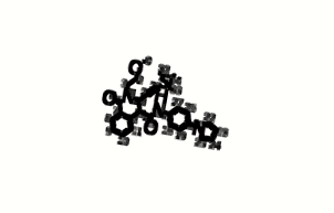 COCCN1C(=O)c2ccccc2C(C(=O)Nc2ccc(-n3cccc3)cc2)C1C#C[Si](C)(C)C